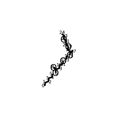 CCCCCCOC(=O)CCCOCCOC(C)COCCOCC